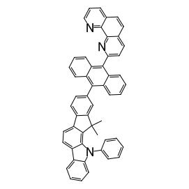 CC1(C)c2cc(-c3c4ccccc4c(-c4ccc5ccc6cccnc6c5n4)c4ccccc34)ccc2-c2ccc3c4ccccc4n(-c4ccccc4)c3c21